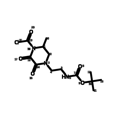 CC1CN(CCNC(=O)OC(C)(C)C)C(=O)C(=O)N1C(=O)Cl